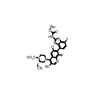 CC(C)(C)OC(=O)Nc1nc2c(-c3c(Cl)cc4c(N5CCN(C(=O)O)[C@@H](CC#N)C5)c(C#N)cnc4c3F)ccc(F)c2s1